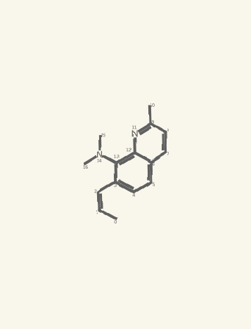 C/C=C\c1ccc2ccc(C)nc2c1N(C)C